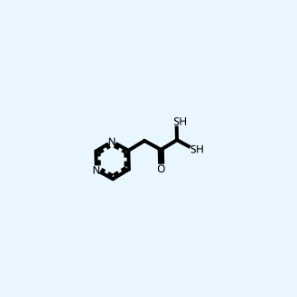 O=C(Cc1ccncn1)C(S)S